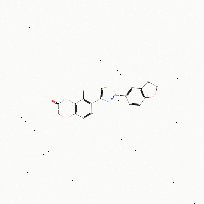 Cc1c(-c2csc(-c3ccc4c(c3)CCO4)n2)ccc2c1NC(=O)CO2